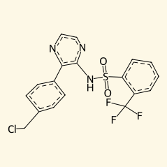 O=S(=O)(Nc1nccnc1-c1ccc(CCl)cc1)c1ccccc1C(F)(F)F